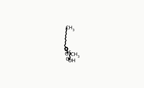 CCCCCCCCCCCCc1ccc(C(=O)SC(C)CCC(=O)O)cc1